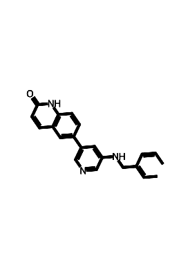 C/C=C\C(=C/C)CNc1cncc(-c2ccc3[nH]c(=O)ccc3c2)c1